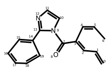 C=C/C=C(\C=C/C)C(=O)n1ccnc1-c1ccccc1